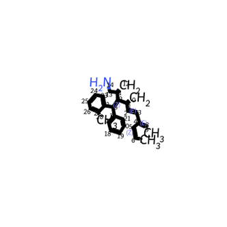 C=C(/C=C/C(/C=C\C)=C/C)/C(C(=C)CN)=C(\c1ccccc1)c1ccccc1C